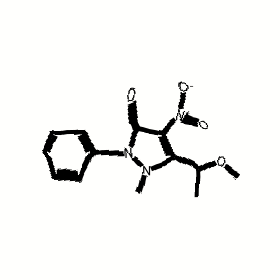 COC(C)c1c([N+](=O)[O-])c(=O)n(-c2ccccc2)n1C